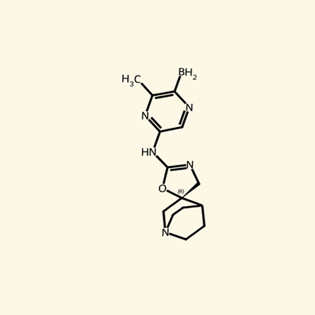 Bc1ncc(NC2=NC[C@@]3(CN4CCC3CC4)O2)nc1C